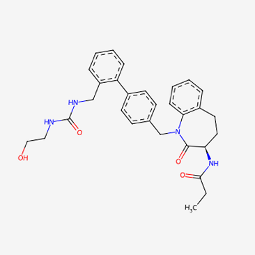 CCC(=O)N[C@@H]1CCc2ccccc2N(Cc2ccc(-c3ccccc3CNC(=O)NCCO)cc2)C1=O